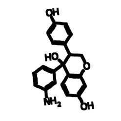 Nc1cccc(C2(O)c3ccc(O)cc3OCC2c2ccc(O)cc2)c1